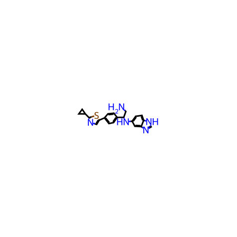 NCC(Nc1ccc2[nH]cnc2c1)c1ccc(-c2cnc(C3CC3)s2)cc1